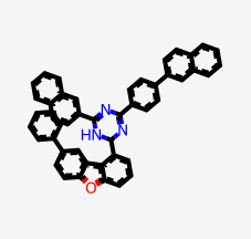 c1ccc(-c2ccc3oc4cccc(C5N=C(c6ccc(-c7ccc8ccccc8c7)cc6)N=C(c6ccc7ccccc7c6)N5)c4c3c2)cc1